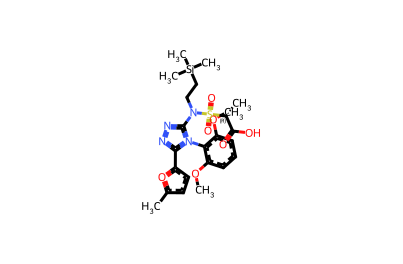 COc1cccc(OC)c1-n1c(-c2ccc(C)o2)nnc1N(CC[Si](C)(C)C)S(=O)(=O)[C@H](C)C(=O)O